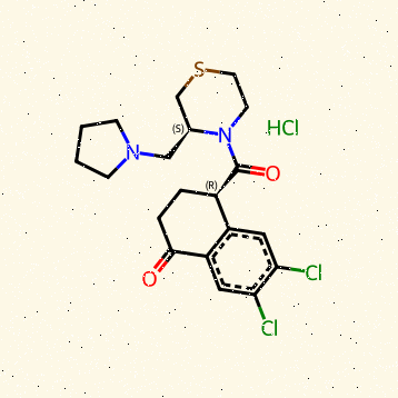 Cl.O=C1CC[C@@H](C(=O)N2CCSC[C@@H]2CN2CCCC2)c2cc(Cl)c(Cl)cc21